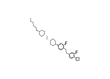 CCCCCC[C@H]1CC[C@H](CC[C@H]2CC[C@H](c3ccc(CCc4ccc(Cl)c(F)c4)c(F)c3)CC2)CC1